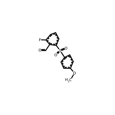 COc1ccc(S(=O)(=O)c2cccc(F)c2C=O)cc1